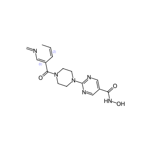 C=N/C=C(\C=C/C)C(=O)N1CCN(c2ncc(C(=O)NO)cn2)CC1